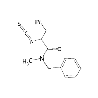 CC(C)CC(N=C=S)C(=O)N(C)Cc1ccccc1